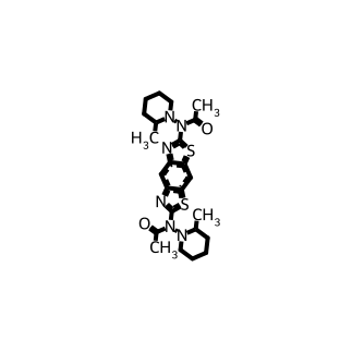 CC(=O)N(c1nc2cc3nc(N(C(C)=O)N4CCCCC4C)sc3cc2s1)N1CCCCC1C